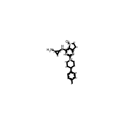 Cc1ccc(C2CCN(c3nc4c(c(NC5C[C@H]5N)n3)[S+]([O-])CC4)CC2)cc1